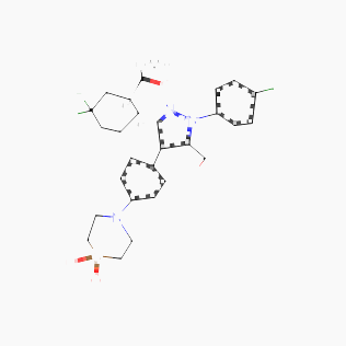 COC(=O)[C@@H]1CC(F)(F)CC[C@H]1c1nn(-c2ccc(F)cc2)c(CO)c1-c1ccc(N2CCS(=O)(=O)CC2)cc1